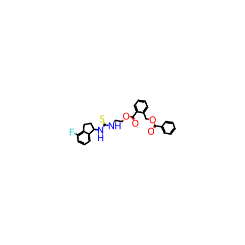 O=C(OCc1ccccc1C(=O)OCCNC(=S)NC1CCc2c(F)cccc21)c1ccccc1